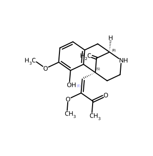 C=C1[C@H]2Cc3ccc(OC)c(O)c3[C@]1(/C=C(/OC)C(C)=O)CCN2